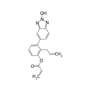 C=CCc1c(OC(=O)C=C)cccc1-c1ccc2nn(O)nc2c1